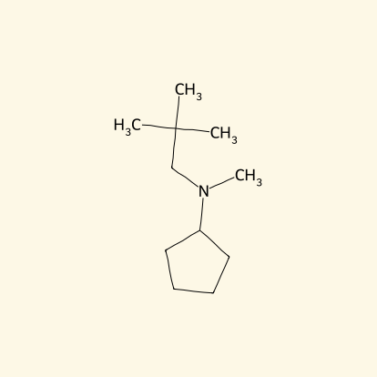 CN(CC(C)(C)C)C1CCCC1